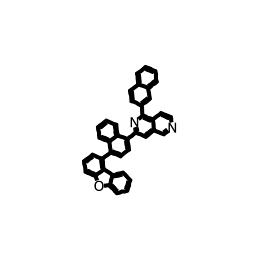 c1ccc2cc(-c3nc(-c4ccc(-c5cccc6oc7ccccc7c56)c5ccccc45)cc4cnccc34)ccc2c1